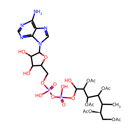 CC(=O)OC[C@@H](OC(C)=O)C(C)C(OC(C)=O)C(OC(C)=O)C(OC(C)=O)C(O)OP(=O)(O)OP(=O)(O)OCC1OC(n2cnc3c(N)ncnc32)C(O)C1O